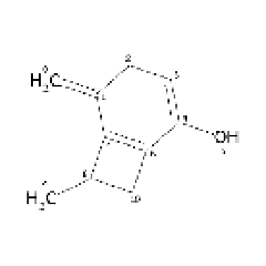 C=C1CC=C(O)C2=C1C(C)C2